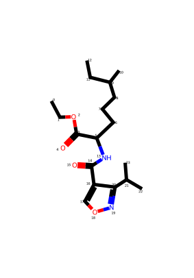 CCOC(=O)C(CCCC(C)CC)NC(=O)c1conc1C(C)C